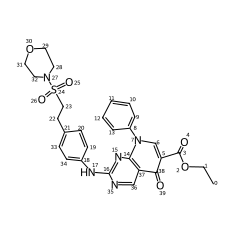 CCOC(=O)c1cn(-c2ccccc2)c2nc(Nc3ccc(CCS(=O)(=O)N4CCOCC4)cc3)ncc2c1=O